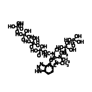 CN(C)[PH](Oc1cccc2[nH]nnc12)(N(C)C)N(C)C.O=P(O)(O)O.O=P(O)(O)O.O=P(O)(O)O.O=P(O)(O)O.O=P(O)(O)O.O=P(O)(O)O